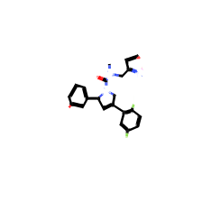 CN(Cc1ccon1)C(=O)N1CC(c2cc(F)ccc2F)=CC1c1cccc(O)c1